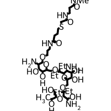 CCC(CC)(OCC1OC(C(CC)(CC)OCC2OC(OCCCNC(=O)CCCSCC(=O)NCCC(=O)NC)C(N)C(O)C2O)C(N)C(O)C1O)C(OC(CO)C(C)O)C(N)O